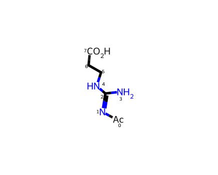 CC(=O)/N=C(\N)NCCC(=O)O